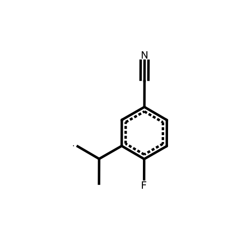 [CH2]C(C)c1cc(C#N)ccc1F